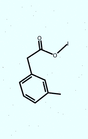 Cc1cccc(CC(=O)OI)c1